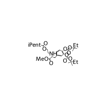 CCCC(C)C(=O)OCCN[C@@H](Cc1ccc(OC(=O)OC(C)(C)CC)c(OC(=O)OC(C)(C)CC)c1)C(=O)OC